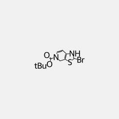 CC(C)(C)OC(=O)N1C=CC2=C(C1)SC(Br)N2